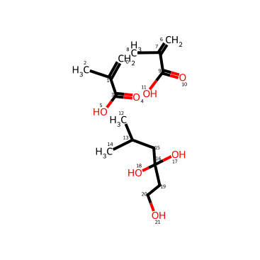 C=C(C)C(=O)O.C=C(C)C(=O)O.CC(C)CC(O)(O)CCO